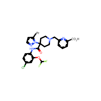 CC(C)c1ccnn1C1(C(=O)Nc2ccc(Cl)cc2OC(F)F)CCN(Cc2cccc(C(=O)O)n2)CC1